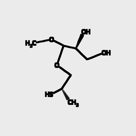 COC(OC[C@H](C)S)[C@@H](O)CO